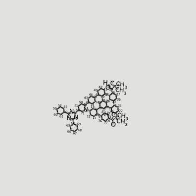 CC(C)(C)C(=O)c1ccc(-c2ccccc2-c2cc(-c3ccccc3-c3ccc(C(=O)C(C)(C)C)cc3)cc(-c3ccccc3-c3ccc(-c4ccc(-c5nc(-c6ccccc6)nc(-c6ccccc6)n5)cn4)cc3)c2)cc1